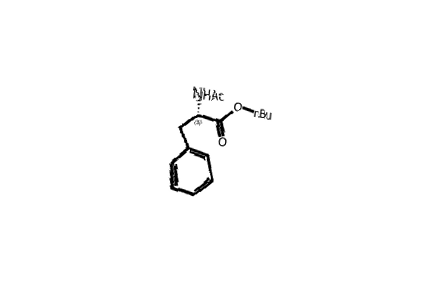 CCCCOC(=O)[C@H](Cc1ccccc1)NC(C)=O